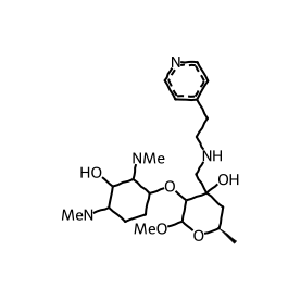 CNC1CCC(OC2C(OC)O[C@H](C)CC2(O)CNCCc2ccncc2)C(NC)C1O